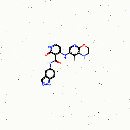 Cc1c(Nc2cc[nH]c(=O)c2C(=O)Nc2ccc3[nH]ncc3c2)cnc2c1NCCO2